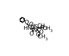 COCC1(C)S[C@@H]2C(NC(=O)COc3ccccc3)C(=O)N2C1C(=O)OC